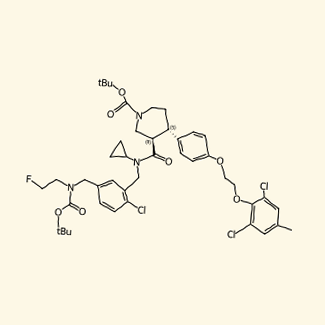 Cc1cc(Cl)c(OCCOc2ccc([C@H]3CCN(C(=O)OC(C)(C)C)C[C@@H]3C(=O)N(Cc3cc(CN(CCF)C(=O)OC(C)(C)C)ccc3Cl)C3CC3)cc2)c(Cl)c1